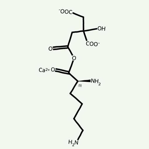 NCCCC[C@H](N)C(=O)OC(=O)CC(O)(CC(=O)[O-])C(=O)[O-].[Ca+2]